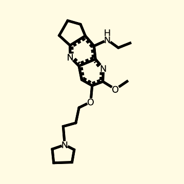 CCNc1c2c(nc3cc(OCCCN4CCCC4)c(OC)nc13)CCC2